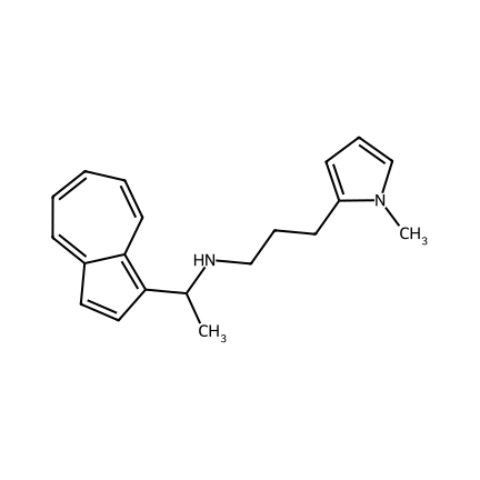 CC(NCCCc1cccn1C)c1ccc2cccccc1-2